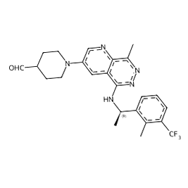 Cc1c([C@@H](C)Nc2nnc(C)c3ncc(N4CCC(C=O)CC4)cc23)cccc1C(F)(F)F